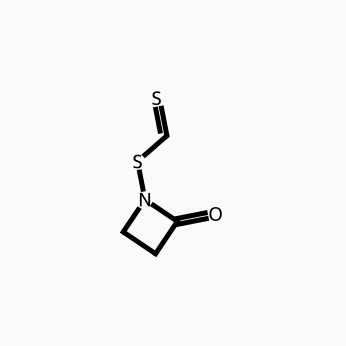 O=C1CCN1SC=S